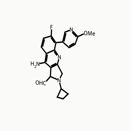 COc1ccc(-c2c(F)ccc3c(N)c4c(nc23)CN(C2CCC2)C4C=O)cn1